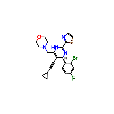 Fc1ccc([C@@H]2N=C(c3nccs3)NC(CN3CCOCC3)=C2C#CC2CC2)c(Br)c1